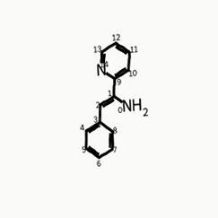 NC(=Cc1ccccc1)c1ccccn1